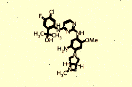 COc1cc(N2C[C@H]3CN(C)[C@H]3C2)c(N)cc1Nc1nccc(Nc2cc(Cl)c(F)cc2C(C)(C)O)n1